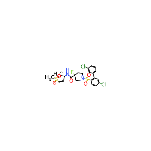 C[C@@H](/C=C\S(C)(=O)=O)NC(=O)C1(F)CCN(S(=O)(=O)c2ccc(Cl)cc2-c2cccc(Cl)c2)CC1